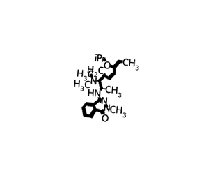 C=C(/C=C\C(=C/C)OC(C)C)[C@@H]([C@H](C)Nc1nn(C)c(=O)c2ccccc12)N(C)C